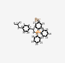 CC(C)Cc1ccc(CC[P+](c2ccccc2)(c2ccccc2)c2ccccc2)cc1.[Br-]